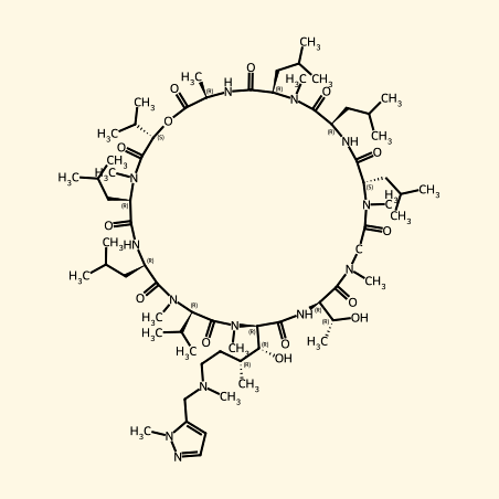 CC(C)C[C@@H]1C(=O)N[C@H](CC(C)C)C(=O)N(C)[C@H](C(C)C)C(=O)N(C)[C@H]([C@H](O)[C@H](C)CCN(C)Cc2ccnn2C)C(=O)N[C@H]([C@@H](C)O)C(=O)N(C)CC(=O)N(C)[C@@H](CC(C)C)C(=O)N[C@H](CC(C)C)C(=O)N(C)[C@H](CC(C)C)C(=O)N[C@H](C)C(=O)O[C@@H](C(C)C)C(=O)N1C